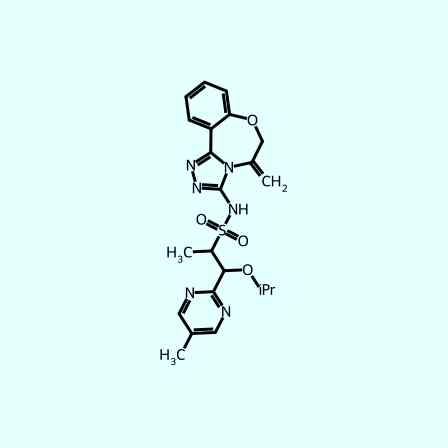 C=C1COc2ccccc2-c2nnc(NS(=O)(=O)C(C)C(OC(C)C)c3ncc(C)cn3)n21